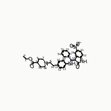 CCOC(=O)C1CCN(CCc2ccc(N/C(=C3\C(=O)Nc4ccc([N+](=O)[O-])cc43)c3ccccc3)cc2)CC1